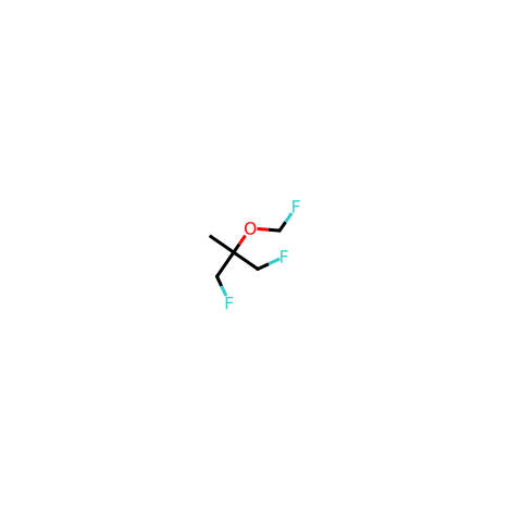 CC(CF)(CF)OCF